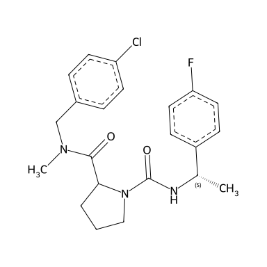 C[C@H](NC(=O)N1CCCC1C(=O)N(C)Cc1ccc(Cl)cc1)c1ccc(F)cc1